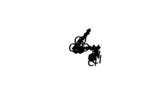 CCCCCCOC(=O)OCN1C(=O)CCc2ccc(OCCCCN(CC)CCN(C)c3cccc(Cl)c3Cl)cc21